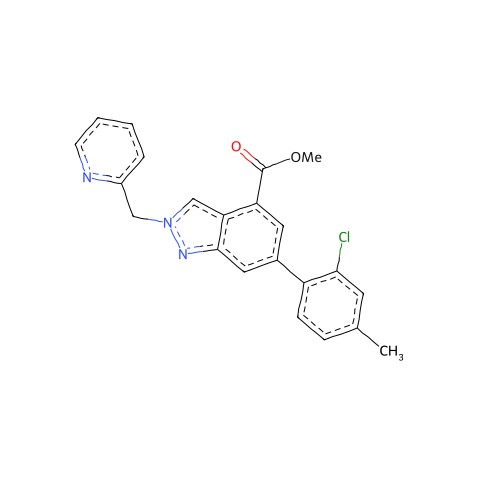 COC(=O)c1cc(-c2ccc(C)cc2Cl)cc2nn(Cc3ccccn3)cc12